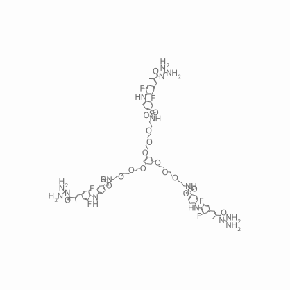 C/C(=C\c1cc(F)c(Nc2ccc(S(=O)(=O)NCCCOCCOCCOc3cc(OCCOCCOCCNS(=O)(=O)c4ccc(Nc5c(F)cc(/C=C(\C)C(=O)N=C(N)N)cc5F)cc4)cc(OCCOCCOCCNS(=O)(=O)c4ccc(Nc5c(F)cc(/C=C(\C)C(=O)N=C(N)N)cc5F)cc4)c3)cc2)c(F)c1)C(=O)N=C(N)N